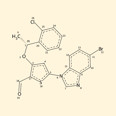 C[C@@H](Oc1cc(-n2cnc3cc(Br)ccc32)sc1C=O)c1ccccc1Cl